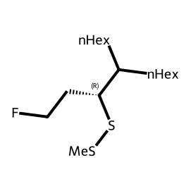 CCCCCCC(CCCCCC)[C@@H](CCF)SSC